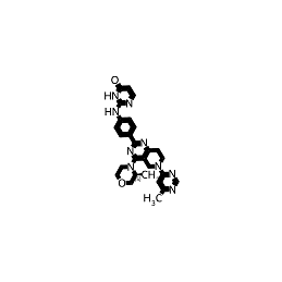 Cc1cc(N2CCc3nc(-c4ccc(Nc5nccc(=O)[nH]5)cc4)nc(N4CCOC[C@@H]4C)c3C2)ncn1